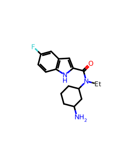 CCN(C(=O)c1cc2cc(F)ccc2[nH]1)C1CCCC(N)C1